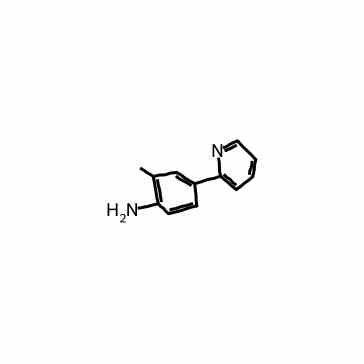 Cc1cc(-c2ccccn2)ccc1N